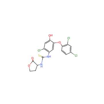 O=C1OCCC1NC(=S)Nc1cc(Oc2ccc(Cl)cc2Cl)c(O)cc1Cl